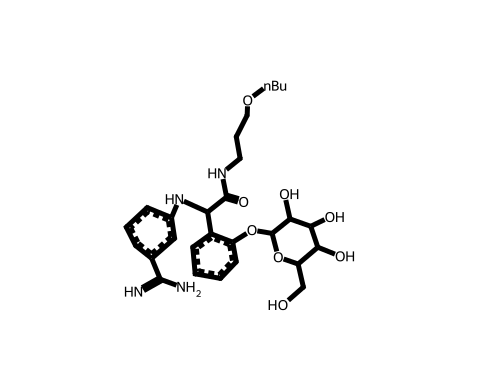 CCCCOCCCNC(=O)C(Nc1cccc(C(=N)N)c1)c1ccccc1OC1OC(CO)C(O)C(O)C1O